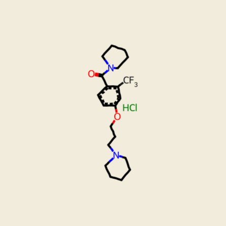 Cl.O=C(c1ccc(OCCCN2CCCCC2)cc1C(F)(F)F)N1CCCCC1